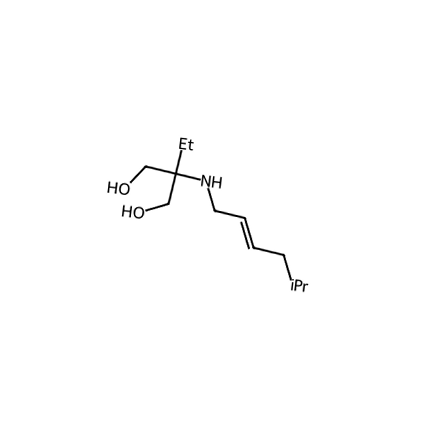 CCC(CO)(CO)NC/C=C/CC(C)C